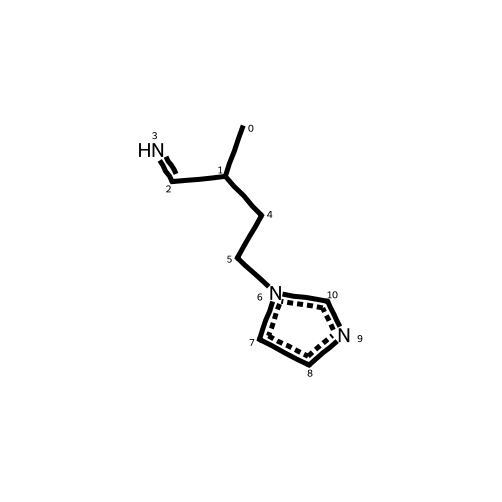 CC(C=N)CCn1ccnc1